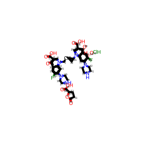 CCn1cc(C(=O)O)c(=O)c2cc(F)c(N3CCNCC3)cc21.Cl.O.O=C(O)c1cn(C2CC2)c2cc(N3CCNCC3)c(F)cc2c1=O.O=C1CCC(C(=O)O)O1